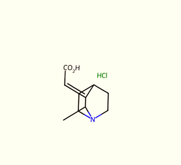 CC1C(=CC(=O)O)C2CCN1CC2.Cl